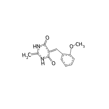 C=c1[nH]c(=O)c(=Cc2ccccc2OC)c(=O)[nH]1